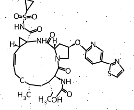 CC[C@@H]1C[C@H](C)CC/C=C\[C@@H]2C[C@@]2(C(=O)NS(=O)(=O)C2CC2)NC(=O)[C@@H]2C[C@@H](Oc3ccc(-c4nccs4)cn3)CN2C(=O)[C@H]1NC(=O)O